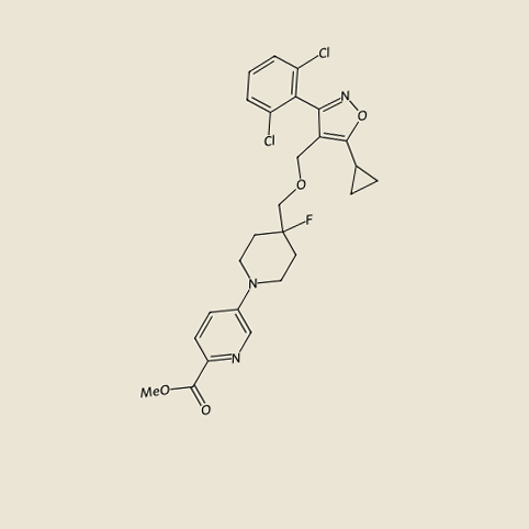 COC(=O)c1ccc(N2CCC(F)(COCc3c(-c4c(Cl)cccc4Cl)noc3C3CC3)CC2)cn1